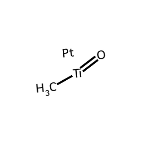 [CH3][Ti]=[O].[Pt]